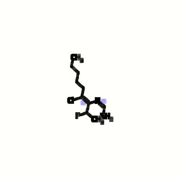 CCCCC/C(Cl)=C(\N=C/N)C(C)F